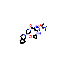 CC(CN(C)C)Oc1nc(NC2CCC2)cc(C(=O)N2CC[C@@H](N3CCc4ccccc4C3)[C@H](O)C2)n1